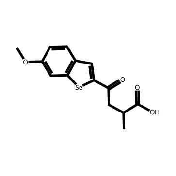 COc1ccc2cc(C(=O)CC(C)C(=O)O)[se]c2c1